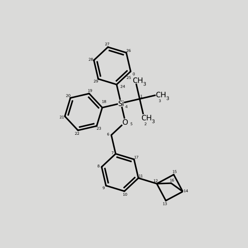 CC(C)(C)[Si](OCc1cccc(C23CC(C2)C3)c1)(c1ccccc1)c1ccccc1